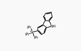 CC(C)[Si](c1ccc2[nH]c3ccccc3c2c1)(C(C)C)C(C)C